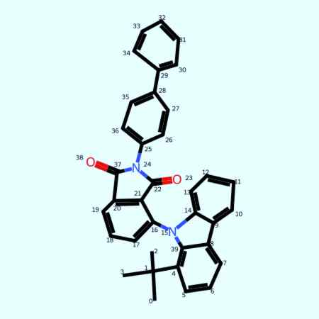 CC(C)(C)c1cccc2c3ccccc3n(-c3cccc4c3C(=O)N(c3ccc(-c5ccccc5)cc3)C4=O)c12